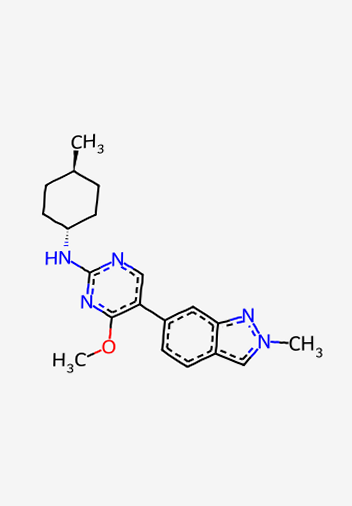 COc1nc(N[C@H]2CC[C@H](C)CC2)ncc1-c1ccc2cn(C)nc2c1